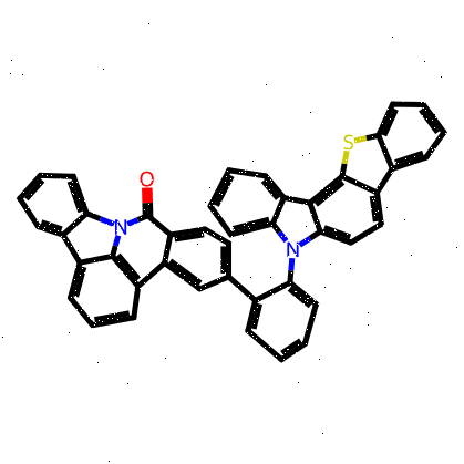 O=c1c2ccc(-c3ccccc3-n3c4ccccc4c4c5sc6ccccc6c5ccc43)cc2c2cccc3c4ccccc4n1c23